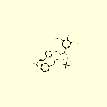 COc1cc(C(O[Si](C)(C)C(C)(C)C)[C@H](CCCc2ccccc2)Cn2cc(/C=C/C(=O)O)cn2)cc(OC)c1C